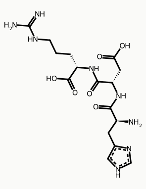 N=C(N)NCCC[C@H](NC(=O)[C@H](CC(=O)O)NC(=O)[C@@H](N)Cc1c[nH]cn1)C(=O)O